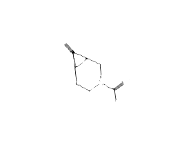 O=C1C2CCN(C(=O)O)CC12